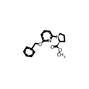 COC(=O)[C@@H]1CCCN1c1cccc(OCc2ccccc2)n1